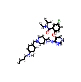 CCCCNC1CCC(CN2CCC(CNc3ncncc3Oc3ccc(F)cc3C(=O)N(CC)C(C)C)CC2)CC1